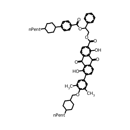 CCCCCC1CCC(COc2c(C)cc(-c3ccc4c(c3O)C(=O)c3ccc(C(=O)OCC(OC(=O)c5ccc(C6CCC(CCCCC)CC6)cc5)c5ccccc5)c(O)c3C4=O)cc2C)CC1